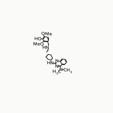 COc1ccc(CNCC[C@H]2CC[C@@H](Nc3nc(N(C)C)c4ccccc4n3)CC2)c(OC)c1O